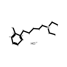 CCN(CC)CCCCCc1ccccc1C.Cl